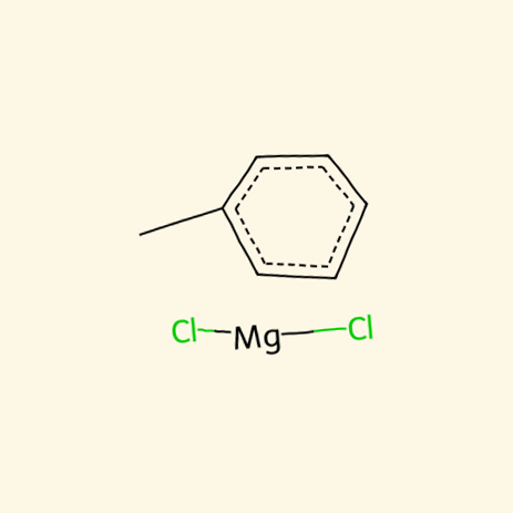 Cc1ccccc1.[Cl][Mg][Cl]